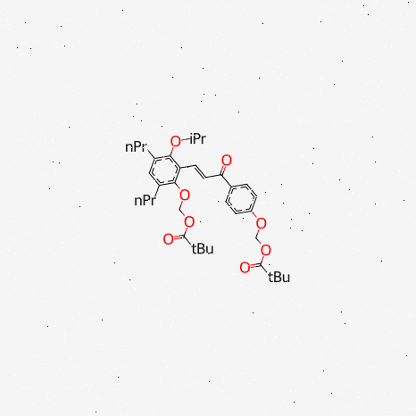 CCCc1cc(CCC)c(OC(C)C)c(/C=C/C(=O)c2ccc(OCOC(=O)C(C)(C)C)cc2)c1OCOC(=O)C(C)(C)C